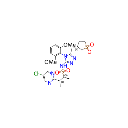 COc1cccc(OC)c1-n1c(C[C@@H]2CCS(=O)(=O)C2)nnc1NS(=O)(=O)[C@@H](C)[C@H](C)c1ncc(Cl)cn1